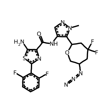 Cn1ncc(NC(=O)c2nc(-c3c(F)cccc3F)sc2N)c1C1CC(F)(F)CC(N=[N+]=[N-])CO1